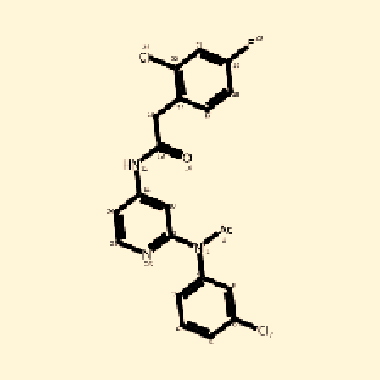 CC(=O)N(c1cccc(Cl)c1)c1cc(NC(=O)Cc2ccc(F)cc2Cl)ccn1